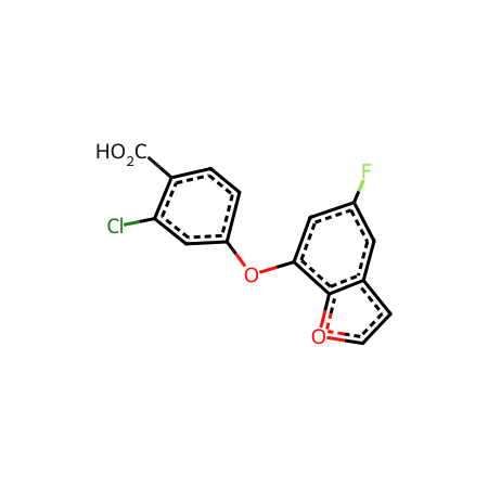 O=C(O)c1ccc(Oc2cc(F)cc3ccoc23)cc1Cl